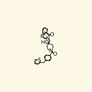 O=C(c1ccc(Cc2cccs2)cc1)N1CCC(O)(Cn2cnn3cccc3c2=O)CC1